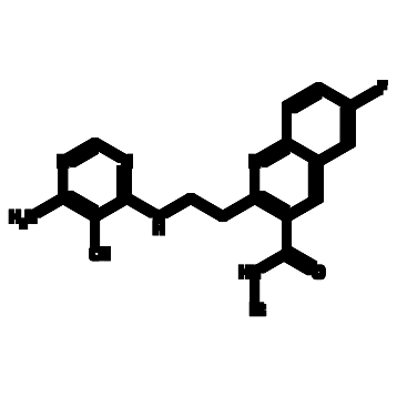 CCNC(=O)c1cc2cc(F)ccc2nc1CCNc1ncnc(N)c1C#N